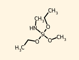 CCO[Si](NC)(OC)OCC